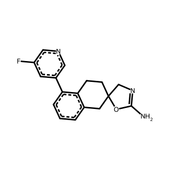 NC1=NCC2(CCc3c(cccc3-c3cncc(F)c3)C2)O1